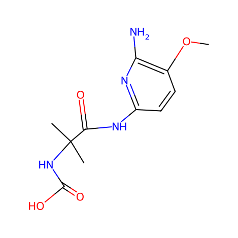 COc1ccc(NC(=O)C(C)(C)NC(=O)O)nc1N